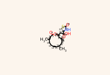 CC1=CC(=O)O[C@@H]2C[C@@H](CC[C@H](C)C=CCC1)O[C@@](O)([C@@H]1CSC(=O)N1)C2